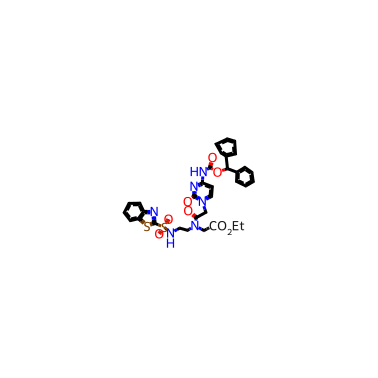 CCOC(=O)CN(CCNS(=O)(=O)c1nc2ccccc2s1)C(=O)Cn1ccc(NC(=O)OC(c2ccccc2)c2ccccc2)nc1=O